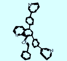 c1ccc(COc2c(-c3ccc(-c4cccnc4)cc3)cc(-c3ccc(-c4cccnc4)cc3)c3cccnc23)cc1